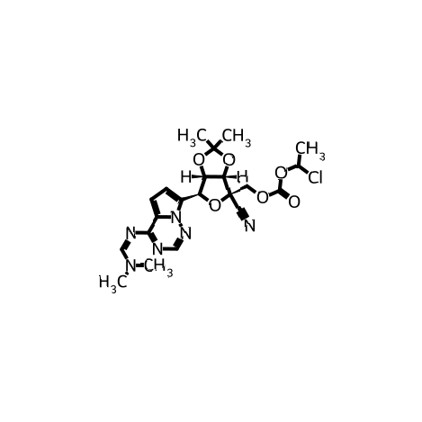 CC(Cl)OC(=O)OC[C@@]1(C#N)O[C@@H](c2ccc3c(/N=C\N(C)C)ncnn23)[C@@H]2OC(C)(C)O[C@@H]21